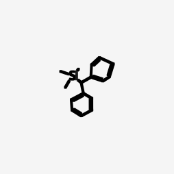 C[Si](C)(C)C(c1ccccc1)c1ccccc1